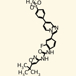 CC(C)(C)c1cc(NC(=O)Nc2ccc(-c3cnc4cc(-c5ccc(S(C)(=O)=O)cc5)ccn34)cc2F)no1